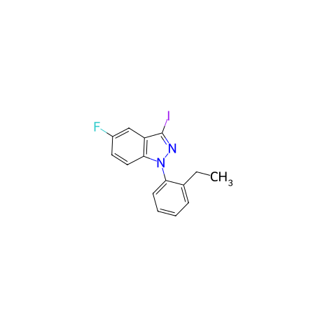 CCc1ccccc1-n1nc(I)c2cc(F)ccc21